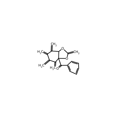 C=C1OC2C(=C)C(=C)C(=C)C(=C)C2(C(=O)c2ccccc2)O1